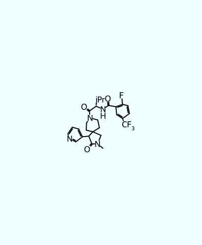 CC(C)[C@@H](NC(=O)c1cc(C(F)(F)F)ccc1F)C(=O)N1CCC2(CC1)CN(C)C(=O)C2c1cccnc1